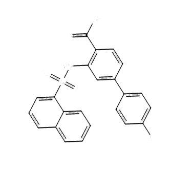 O=C(O)c1ccc(-c2ccc(F)cc2)cc1NS(=O)(=O)c1cccc2ccccc12